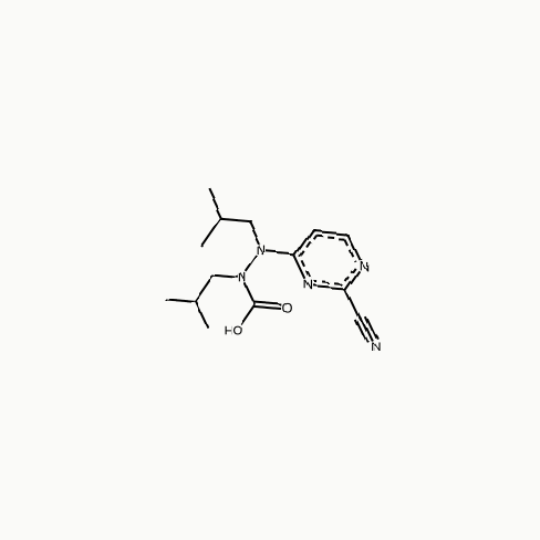 CC(C)CN(C(=O)O)N(CC(C)C)c1ccnc(C#N)n1